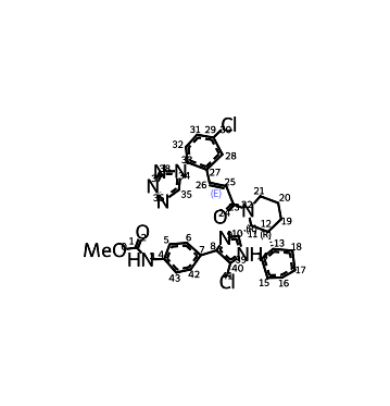 COC(=O)Nc1ccc(-c2nc([C@H]3[C@@H](c4ccccc4)CCCN3C(=O)/C=C/c3cc(Cl)ccc3-n3cnnn3)[nH]c2Cl)cc1